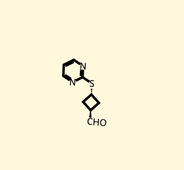 O=C[C@H]1C[C@H](Sc2ncccn2)C1